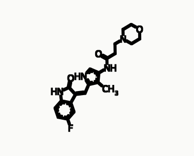 Cc1c(NC(=O)CCN2CCOCC2)c[nH]c1/C=C1\C(=O)Nc2ccc(F)cc21